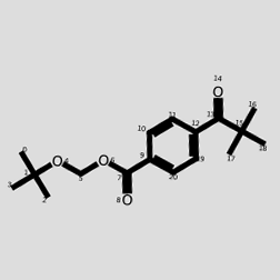 CC(C)(C)OCOC(=O)c1ccc(C(=O)C(C)(C)C)cc1